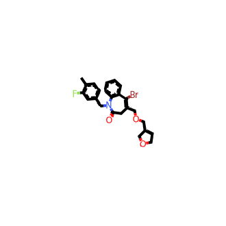 Cc1ccc(CN2C(=O)CC(COCC3CCOC3)=C(Br)c3ccccc32)cc1F